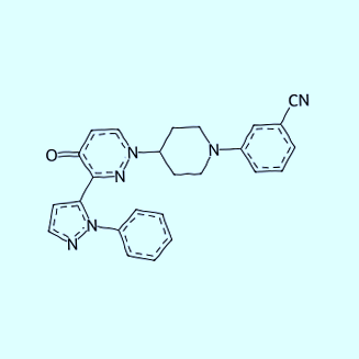 N#Cc1cccc(N2CCC(n3ccc(=O)c(-c4ccnn4-c4ccccc4)n3)CC2)c1